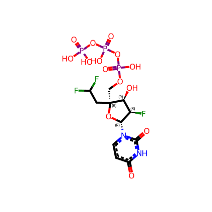 O=c1ccn([C@@H]2O[C@@](COP(=O)(O)OP(=O)(O)OP(=O)(O)O)(CC(F)F)[C@@H](O)[C@H]2F)c(=O)[nH]1